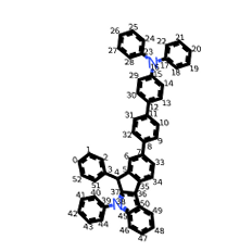 c1ccc(C2c3cc(-c4ccc(-c5ccc(N(c6ccccc6)c6ccccc6)cc5)cc4)ccc3-c3c2n(-c2ccccc2)c2ccccc32)cc1